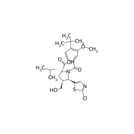 COc1cc(C(=O)N2[C@@H](c3cnc(Cl)s3)[C@@H](CO)C[C@@]2(CC(C)C)C(=O)O)ccc1C(C)(C)C